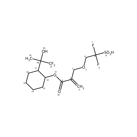 C=C(COCC(F)(F)S(=O)(=O)O)C(=O)OC1CCCCC1C(C)(O)C(F)(F)F